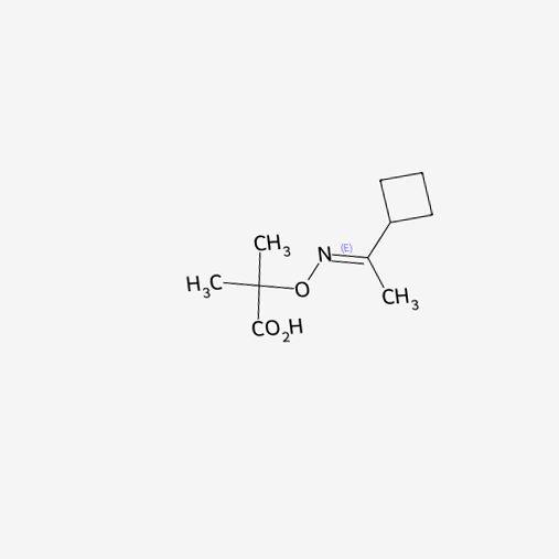 C/C(=N\OC(C)(C)C(=O)O)C1CCC1